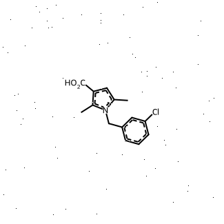 Cc1cc(C(=O)O)c(C)n1Cc1cccc(Cl)c1